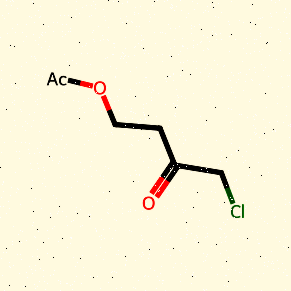 CC(=O)OCCC(=O)CCl